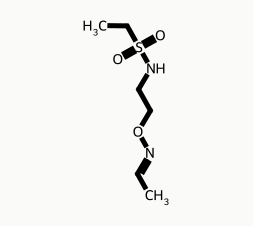 C/C=N/OCCNS(=O)(=O)CC